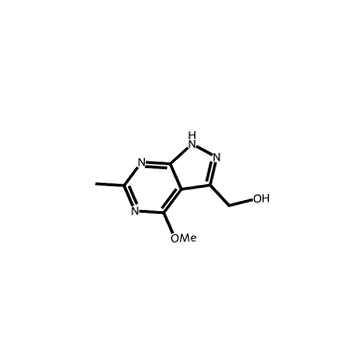 COc1nc(C)nc2[nH]nc(CO)c12